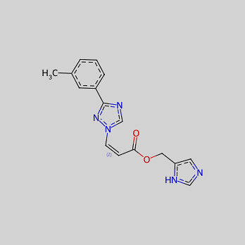 Cc1cccc(-c2ncn(/C=C\C(=O)OCc3cnc[nH]3)n2)c1